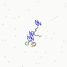 CCCCc1c(/C=C/Cc2cncn2C)cnn1-c1ncc(Cl)c(-c2cccs2)n1